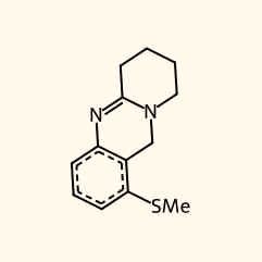 CSc1cccc2c1CN1CCCCC1=N2